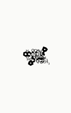 CC(C)(C)NC(=O)[C@@H]1C[C@@H]2CCCC[C@@H]2CN1C[C@@H](O)[C@H](Cc1ccccc1)NC(=O)[C@@H](Nc1nc(-c2ccccc2)cs1)C(C)(C)S(C)(=O)=O